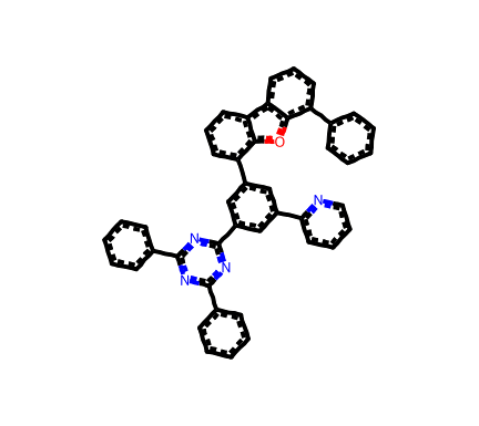 c1ccc(-c2nc(-c3ccccc3)nc(-c3cc(-c4ccccn4)cc(-c4cccc5c4oc4c(-c6ccccc6)cccc45)c3)n2)cc1